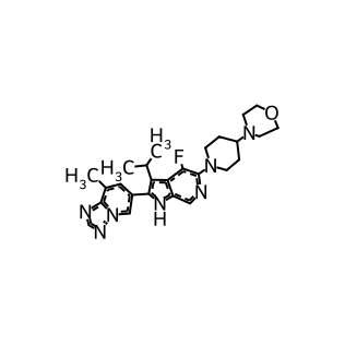 Cc1cc(-c2[nH]c3cnc(N4CCC(N5CCOCC5)CC4)c(F)c3c2C(C)C)cn2ncnc12